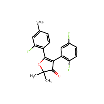 CSc1ccc(C2=C(c3cc(F)ccc3F)C(=O)C(C)(C)O2)c(F)c1